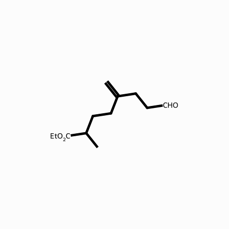 C=C(CCC=O)CCC(C)C(=O)OCC